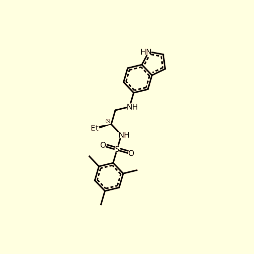 CC[C@@H](CNc1ccc2[nH]ccc2c1)NS(=O)(=O)c1c(C)cc(C)cc1C